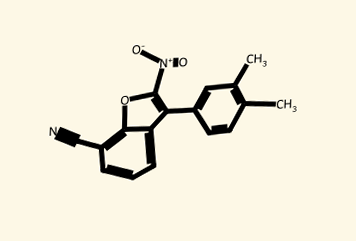 Cc1ccc(-c2c([N+](=O)[O-])oc3c(C#N)cccc23)cc1C